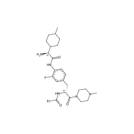 CCC(=O)N[C@H](Cc1ccc(NC(=O)[C@@H](N)C2CCC(C)CC2)c(F)c1)C(=O)N1CCN(C)CC1